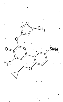 CSc1ccc(OCC2CC2)c(-c2cc(Oc3cnn(C)c3)c(=O)n(C)c2)c1